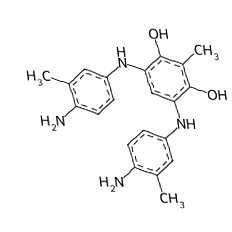 Cc1cc(Nc2cc(Nc3ccc(N)c(C)c3)c(O)c(C)c2O)ccc1N